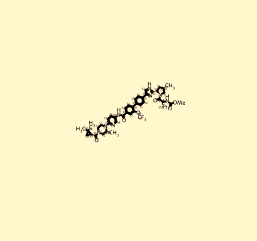 COC(=O)N[C@H](C(=O)N1C[C@@H](C)C[C@H]1c1nc(-c2ccc(-c3ccc(C(=O)Nc4ccc(N5CCN(C(=O)[C@H]6CC6(C)C)C[C@H]5C)nc4)cc3OC(F)(F)F)cc2)c[nH]1)C(C)C